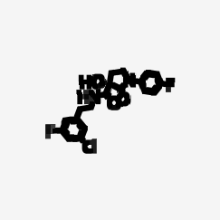 O=C(NCCc1cc(F)cc(Cl)c1)[C@@]1(O)CCN(c2ccc(F)cc2)C1=O